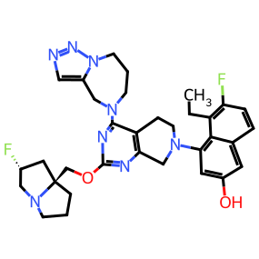 CCc1c(F)ccc2cc(O)cc(N3CCc4c(nc(OC[C@@]56CCCN5C[C@H](F)C6)nc4N4CCCn5nncc5C4)C3)c12